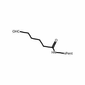 CCCCCNC(=O)CCCC[C]=O